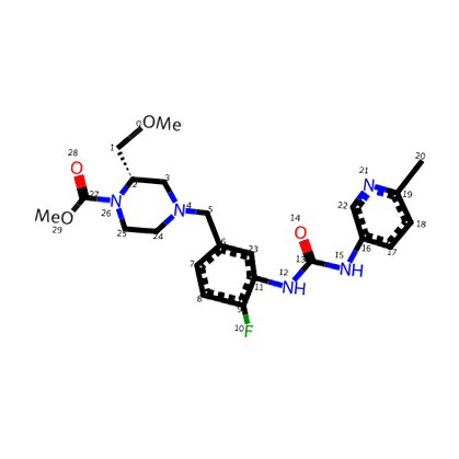 COC[C@@H]1CN(Cc2ccc(F)c(NC(=O)Nc3ccc(C)nc3)c2)CCN1C(=O)OC